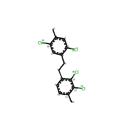 Cc1cc(Cl)c(C[CH]c2ccc(C)c(Cl)c2Cl)cc1Cl